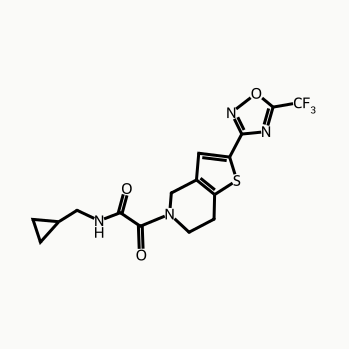 O=C(NCC1CC1)C(=O)N1CCc2sc(-c3noc(C(F)(F)F)n3)cc2C1